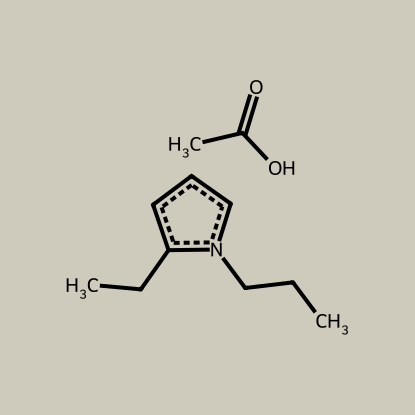 CC(=O)O.CCCn1cccc1CC